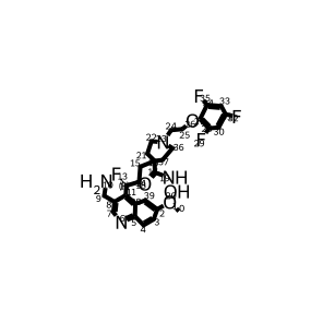 COc1ccc2ncc(CN)c([C@H](F)CCC3(C(=O)NO)CCN(CCOc4c(F)cc(F)cc4F)CC3)c2c1